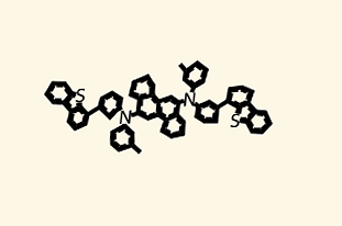 Cc1cccc(N(c2cccc(-c3cccc4c3sc3ccccc34)c2)c2cc3c4ccccc4c(N(c4cccc(C)c4)c4cccc(-c5cccc6c5sc5ccccc56)c4)cc3c3ccccc23)c1